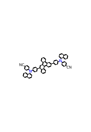 N#Cc1ccc(N(c2ccc(-c3ccc4c(c3)c3ccccc3c3cc(-c5ccc(N(c6ccc(C#N)cc6)c6cccc7ccccc67)cc5)c5ccccc5c43)cc2)c2cccc3ccccc23)cc1